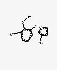 CCCOc1c(C)cccc1C.FC(F)(F)c1ccsc1